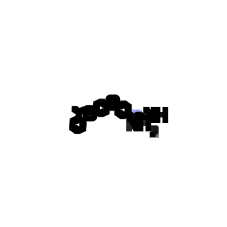 CC(COc1ccc(Oc2ccc(/C(N)=C/C=N)cc2)cc1)c1ccccc1